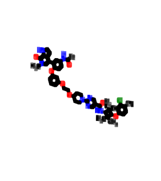 CCC(=O)Nc1ccc(Oc2cccc(OCCOC3CCN(c4ncc(C(=O)N[C@H]5C(C)(C)[C@H](Oc6ccc(C#N)c(Cl)c6)C5(C)C)cn4)CC3)c2)c(-c2cn(C)c(=O)c3[nH]ccc23)c1